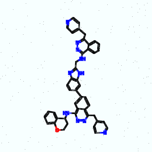 c1ccc2c(c1)OCCC2Nc1nnc(Cc2ccncc2)c2ccc(-c3ccc4nc(CNc5nnc(Cc6ccncc6)c6ccccc56)[nH]c4c3)cc12